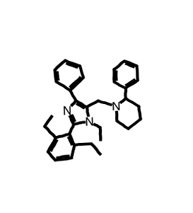 CCc1cccc(CC)c1-c1nc(-c2ccccc2)c(CN2CCCCC2c2ccccc2)n1CC